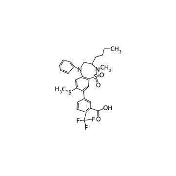 CCCCC1CN(c2ccccc2)c2cc(SC)c(-c3ccc(C(F)(F)F)c(C(=O)O)c3)cc2S(=O)(=O)N1C